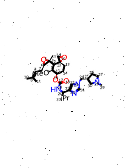 CO[C@H]1C([C@@]2(C)O[C@@H]2CC=C(C)C)[C@]2(CC[C@H]1OC(=O)NC(c1cn(C[C@H]3CCN(C)C3)cn1)C(C)C)CO2